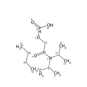 CC(C)N(C(=O)CO[PH](=O)O)C(C)C.CCCC